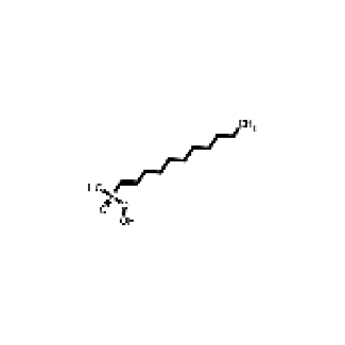 CCCCCCCCCC=CP(=O)(O)OO